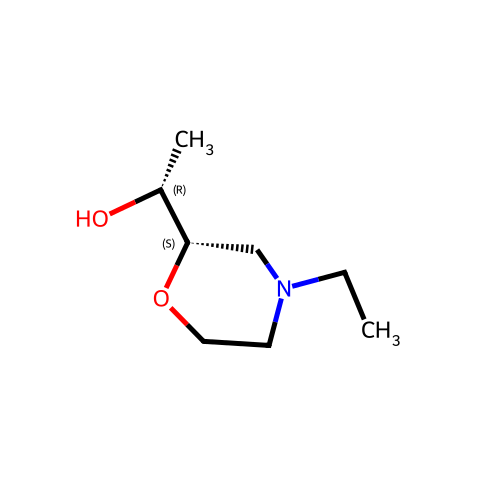 CCN1CCO[C@H]([C@@H](C)O)C1